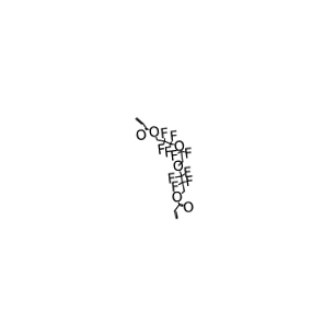 C=CC(=O)OCC(F)(F)C(F)(F)OCC(F)(F)OC(F)(F)C(F)(F)COC(=O)C=C